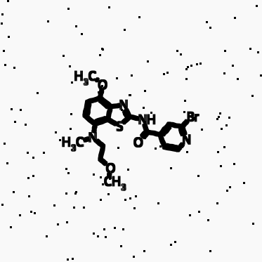 COCCN(C)c1ccc(OC)c2nc(NC(=O)c3ccnc(Br)c3)sc12